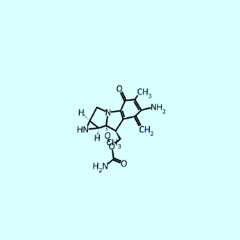 C=C1C(N)=C(C)C(=O)C2=C1[C@@H](COC(N)=O)[C@@]1(OC)[C@H]3N[C@H]3CN21